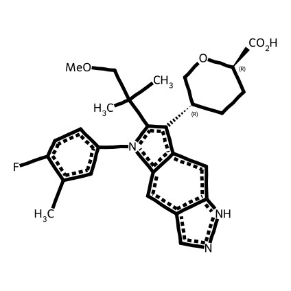 COCC(C)(C)c1c([C@H]2CC[C@H](C(=O)O)OC2)c2cc3[nH]ncc3cc2n1-c1ccc(F)c(C)c1